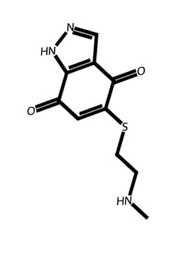 CNCCSC1=CC(=O)c2[nH]ncc2C1=O